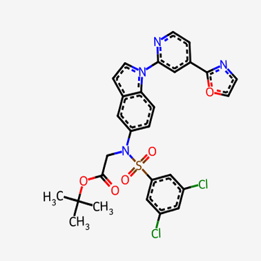 CC(C)(C)OC(=O)CN(c1ccc2c(ccn2-c2cc(-c3ncco3)ccn2)c1)S(=O)(=O)c1cc(Cl)cc(Cl)c1